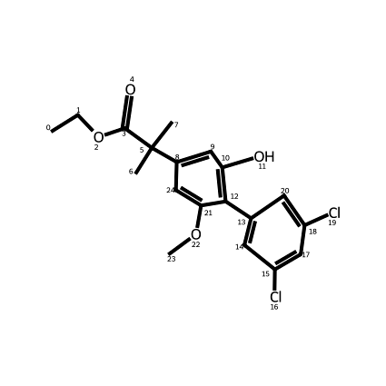 CCOC(=O)C(C)(C)c1cc(O)c(-c2cc(Cl)cc(Cl)c2)c(OC)c1